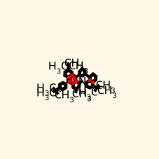 Cc1cc(N(c2ccc(C(C)(C)C)cc2)c2ccc(C(C)(C)C)cc2)c(Cl)c(N(c2ccc(C(C)(C)C)cc2)c2c(-c3ccccc3)cccc2-c2ccccc2)c1